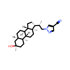 C[C@H](Cn1cc(C#N)cn1)[C@H]1CC[C@H]2[C@@H]3CC[C@@H]4C[C@](C)(O)CC[C@]4(C)[C@H]3CC[C@]12C